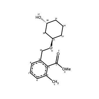 COC(=O)c1c(C)cccc1CO[C@@H]1CCC[C@@H](O)C1